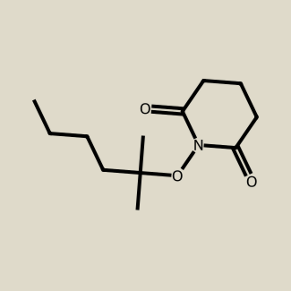 CCCCC(C)(C)ON1C(=O)CCCC1=O